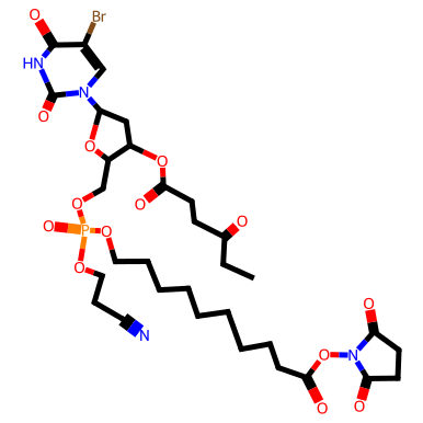 CCC(=O)CCC(=O)OC1CC(n2cc(Br)c(=O)[nH]c2=O)OC1COP(=O)(OCCC#N)OCCCCCCCCCC(=O)ON1C(=O)CCC1=O